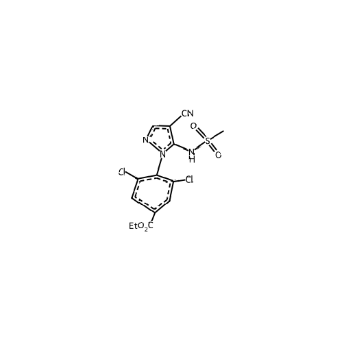 CCOC(=O)c1cc(Cl)c(-n2ncc(C#N)c2NS(C)(=O)=O)c(Cl)c1